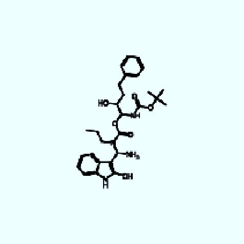 CCCN(C(=O)OC(NC(=O)OC(C)(C)C)C(O)CCc1ccccc1)C(N)c1c(O)[nH]c2ccccc12